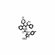 CC(=O)CC(C(=O)C(c1ccccc1NC(=O)Nc1cc(C(C)(C)C)nn1-c1ccc(C)cc1)C1CCNCC1)c1ccccc1